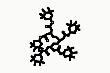 CN1C(C)(C)CC(OC(=O)CN(CCN(CC(=O)OC2CC(C)(C)N(C)C(C)(C)C2)CC(=O)OC2CC(C)(C)N(C)C(C)(C)C2)CCN(CC(=O)OC2CC(C)(C)N(C)C(C)(C)C2)CC(=O)OC2CC(C)(C)N(C)C(C)(C)C2)CC1(C)C